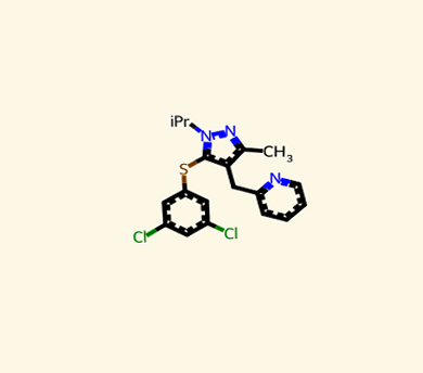 Cc1nn(C(C)C)c(Sc2cc(Cl)cc(Cl)c2)c1Cc1ccccn1